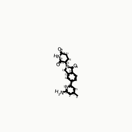 Cc1cc(N)nc(-c2ccc3c(c2)CN(C2CCC(=O)NC2=O)C3=O)c1